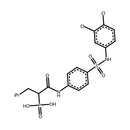 CC(C)CC(C(=O)Nc1ccc(S(=O)(=O)Nc2ccc(Cl)c(Cl)c2)cc1)P(=O)(O)O